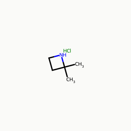 CC1(C)CCN1.Cl